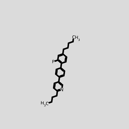 CCCCCc1ccc(-c2ccc(-c3ccc(CCCC)nc3)cc2)c(F)c1